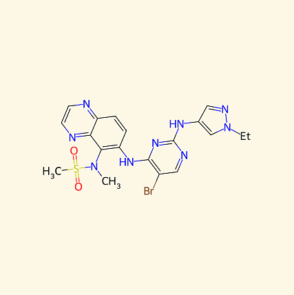 CCn1cc(Nc2ncc(Br)c(Nc3ccc4nccnc4c3N(C)S(C)(=O)=O)n2)cn1